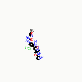 Cc1[nH]c(/C=C2\C(=O)Nc3cc(NC(=O)Nc4cc(C(C)(C)C)on4)ccc32)c(C)c1NC(=O)C1CCCNC1.Cl